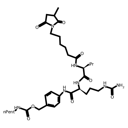 CCCCCNC(=O)OCc1ccc(NC(=O)[C@H](CCCNC(N)=O)NC(=O)[C@@H](NC(=O)CCCCCN2C(=O)CC(C)C2=O)C(C)C)cc1